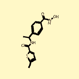 Cc1ccc(C(=O)NC(C)c2ccc(C(=O)NO)cc2)s1